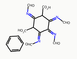 O=CN=C1C(=NC=O)C(C(=O)O)C(=NC=O)C(C(=O)O)C1=NC=O.c1ccccc1